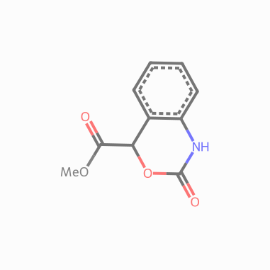 COC(=O)C1OC(=O)Nc2ccccc21